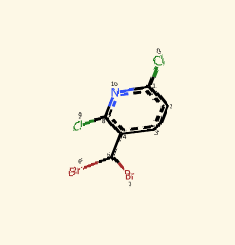 Clc1ccc(C(Br)Br)c(Cl)n1